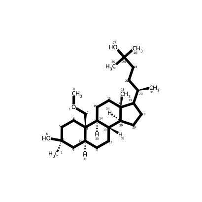 COC[C@]12CC[C@](C)(O)C[C@@H]1CC[C@@H]1[C@@H]2CC[C@]2(C)C([C@H](C)CCC(C)(C)O)CC[C@@H]12